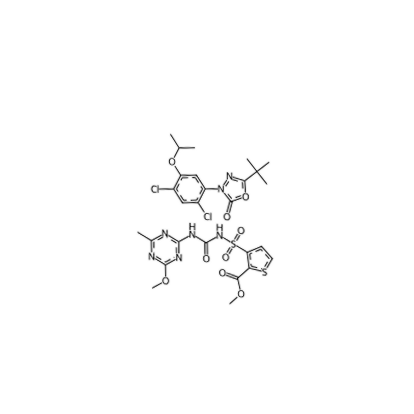 CC(C)Oc1cc(-n2nc(C(C)(C)C)oc2=O)c(Cl)cc1Cl.COC(=O)c1sccc1S(=O)(=O)NC(=O)Nc1nc(C)nc(OC)n1